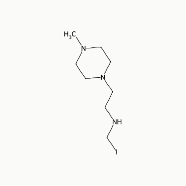 CN1CCN(CCNCI)CC1